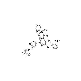 COc1ccccc1Oc1c(NS(=O)(=O)c2ccc(C)cn2)nc(-c2ccnc(CNS(C)(=O)=O)c2)nc1OC